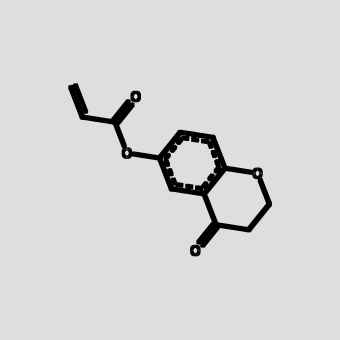 C=CC(=O)Oc1ccc2c(c1)C(=O)CCO2